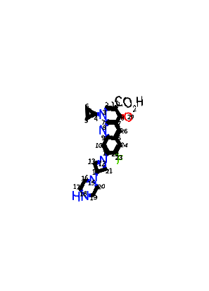 O=C(O)c1cn(C2CC2)c2nc3cc(N4CC(N5CCNCC5)C4)c(F)cc3cc2c1=O